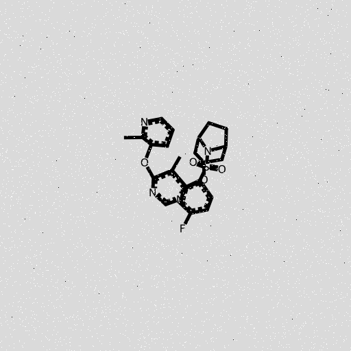 Cc1ncccc1Oc1ncnc(OC2CC3CCC(C2)N3S(=O)(=O)c2ccc(F)cc2)c1C